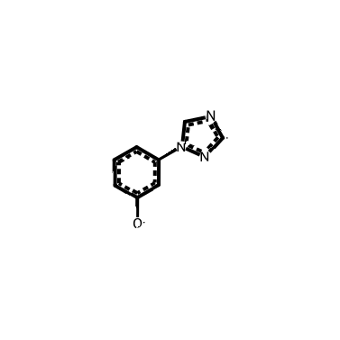 [O]c1cccc(-n2cn[c]n2)c1